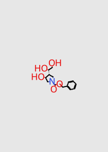 O=C(OCc1ccccc1)N1C[C@@H](O)[C@H](C(O)CO)C1